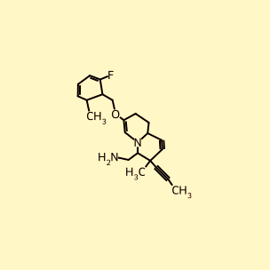 CC#CC1(C)C#CC2CCC(OCC3C(F)=CC=CC3C)=CN2C1CN